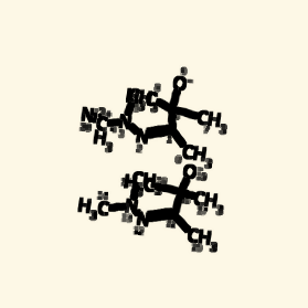 CC(=NN(C)C)C(C)(C)[O-].CC(=NN(C)C)C(C)(C)[O-].[Ni+2]